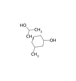 CC(C)O.CC1CCCC(O)C1